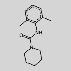 Cc1cccc(C)c1NC(=O)N1CCCCC1